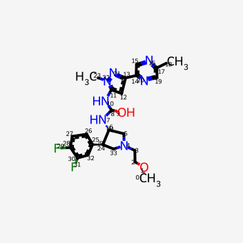 COCCN1C[C@@H](NC(O)Nc2cc(-c3cnc(C)cn3)nn2C)[C@H](c2ccc(F)c(F)c2)C1